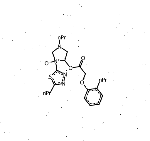 CCCc1nnc([N+]2([O-])CN(CCC)CC2OC(=O)COc2ccccc2CCC)s1